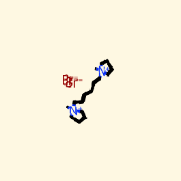 C[N+]1(CCCCCC[N+]2(C)CCCC2)CCCC1.[Br-].[Br-]